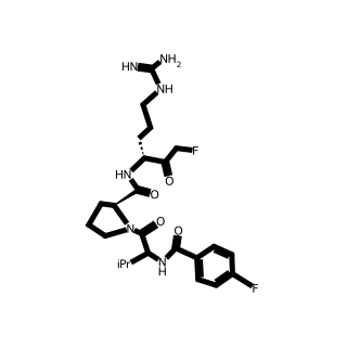 CC(C)C(NC(=O)c1ccc(F)cc1)C(=O)N1CCC[C@H]1C(=O)N[C@H](CCCNC(=N)N)C(=O)CF